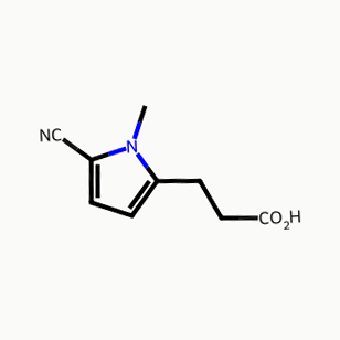 Cn1c(C#N)ccc1CCC(=O)O